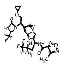 Cc1nonc1C(=O)NC(CC(C)(C)C(F)(F)F)c1cn2ncc(C(COC3CC3)N3CC(C(F)(F)F)NC3=O)cc2n1